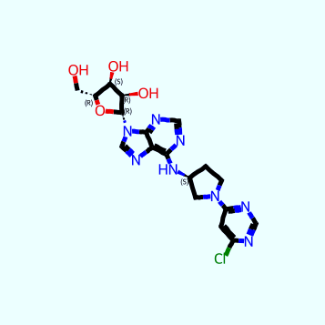 OC[C@H]1O[C@@H](n2cnc3c(N[C@H]4CCN(c5cc(Cl)ncn5)C4)ncnc32)[C@H](O)[C@@H]1O